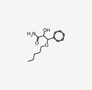 CCCCCOC(c1ccccc1)C(O)C(N)=O